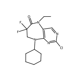 CCN1C(=O)C(F)(F)CN(C2CCCCC2)c2nc(Cl)ncc21